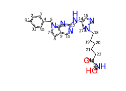 Cc1ccc(Cn2ccc3cnc(Nc4cnn(CCCCCC(=O)NO)c4)nc32)cc1